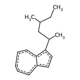 CCC(C)CC(C)c1ccc2cccccc1-2